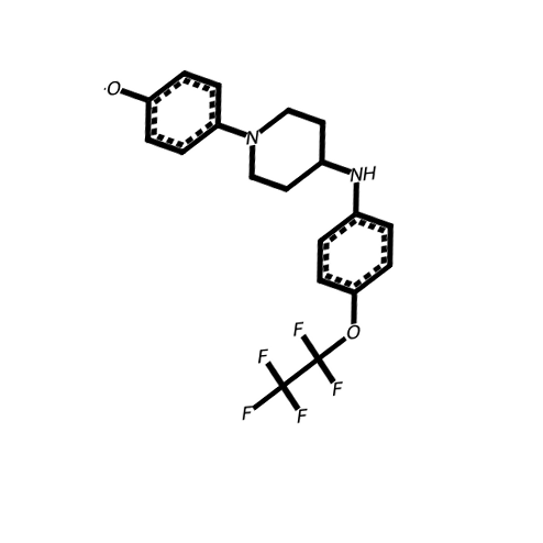 [O]c1ccc(N2CCC(Nc3ccc(OC(F)(F)C(F)(F)F)cc3)CC2)cc1